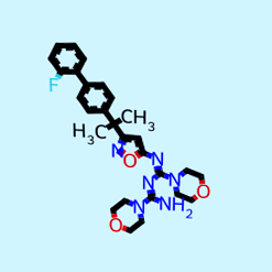 CC(C)(c1ccc(-c2ccccc2F)cc1)c1cc(/N=C(\N=C(/N)N2CCOCC2)N2CCOCC2)on1